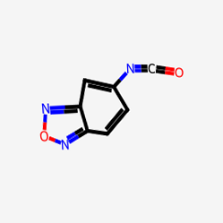 O=C=Nc1ccc2nonc2c1